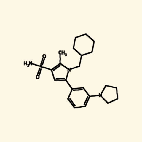 Cc1c(S(N)(=O)=O)cc(-c2cccc(N3CCCC3)c2)n1CC1CCCCC1